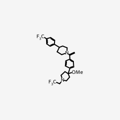 C=C(c1ccc(C2(OC)CCN(CC(F)(F)F)CC2)cc1)N1CCC(c2ccc(C(F)(F)F)cc2)CC1